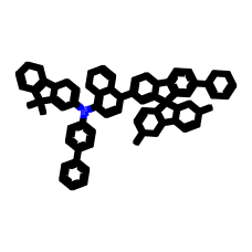 CC1C=CC2C(C1)C1C=CC(C)CC1C21C2=CC(C3C=CC(N(C4=CCC5C(=C4)C(C)(C)C4=C5CCC=C4)c4ccc(-c5ccccc5)cc4)=C4CCC=CC43)=CCC2c2ccc(C3=CC=CCC3)cc21